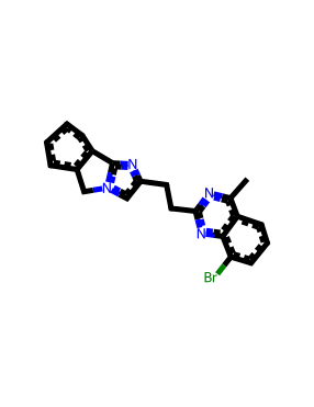 Cc1nc(CCc2cn3c(n2)-c2ccccc2C3)nc2c(Br)cccc12